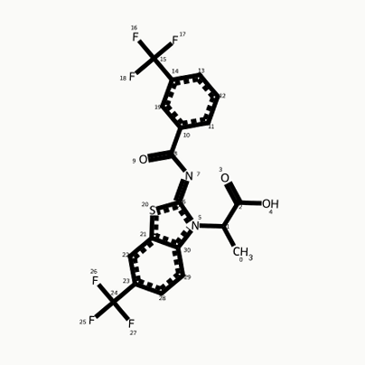 CC(C(=O)O)n1/c(=N/C(=O)c2cccc(C(F)(F)F)c2)sc2cc(C(F)(F)F)ccc21